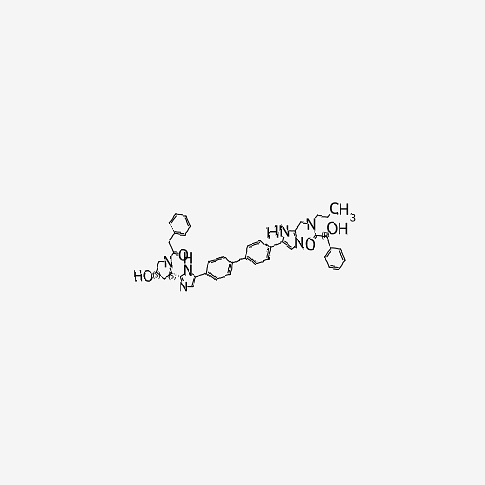 CCCN(Cc1ncc(-c2ccc(-c3ccc(-c4cnc([C@@H]5C[C@H](O)CN5C(=O)Cc5ccccc5)[nH]4)cc3)cc2)[nH]1)C(=O)[C@H](O)c1ccccc1